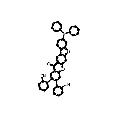 N#Cc1ccccc1-c1cc2oc3cc4oc5cc(N(c6ccccc6)c6ccccc6)ccc5c4cc3c(=O)c2cc1-c1ccccc1C#N